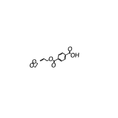 C1COO1.C=CCOC(=O)c1ccc(C(=O)O)cc1